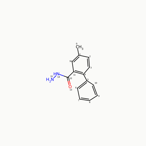 Cc1ccc(-c2ccccc2)c(C(=O)NN)c1